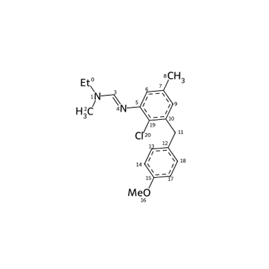 CCN(C)C=Nc1cc(C)cc(Cc2ccc(OC)cc2)c1Cl